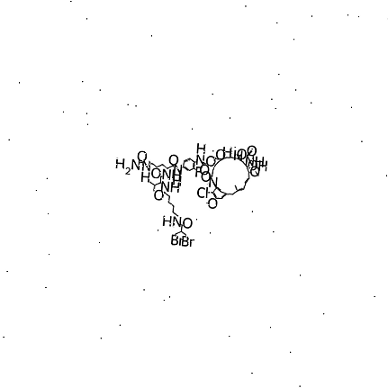 COc1cc2cc(c1Cl)N(C)C(=O)C[C@H](OC(=O)Nc1ccc(NC(=O)[C@H](CCCNC(N)=O)NC(=O)[C@@H](NC(=O)CCCCCNC(=O)C(CBr)CBr)C(C)C)cc1F)[C@]1(C)O[C@H]1[C@H](C)[C@@H]1C[C@@](O)(NC(=O)O1)[C@H](OC)/C=C/C=C(\C)C2